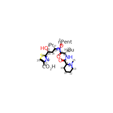 CCCCCON(C(=O)[C@@H](NC(=O)C1CCCCN1C)[C@@H](C)CC)[C@H](C[C@@H](O)c1nc(C(=O)O)cs1)C(C)C